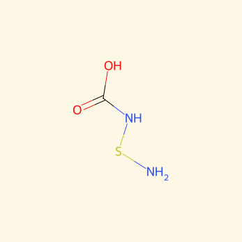 NSNC(=O)O